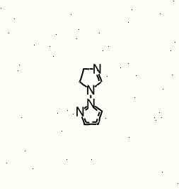 C1=NCCN1n1cccn1